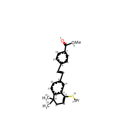 COC(=O)c1ccc(/C=C/c2ccc3c(c2)C(SC(C)C)=CCC3(C)C)cc1